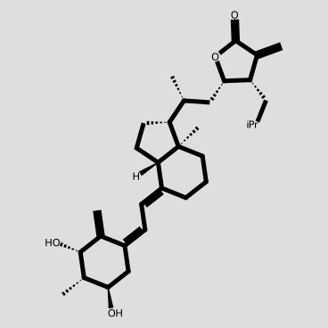 C=C1/C(=C\C=C2/CCC[C@]3(C)[C@@H]([C@H](C)C[C@@H]4OC(=O)C(=C)[C@@H]4CC(C)C)CC[C@@H]23)C[C@@H](O)[C@H](C)[C@@H]1O